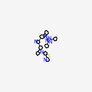 c1ccc(-c2nc(-c3ccccc3)nc(-n3c4ccccc4c4ccc(-c5cncc(-c6ccc7c(c6)c6ccccc6n7-c6ccc7sc8cccnc8c7c6)c5)cc43)n2)cc1